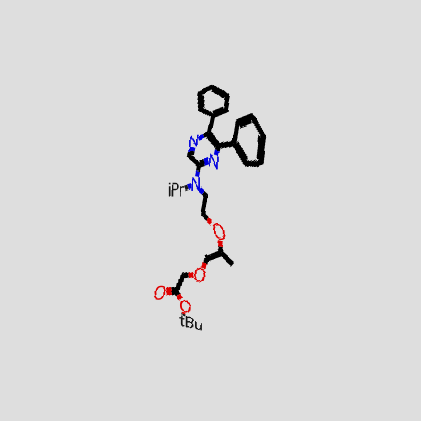 CC(COCC(=O)OC(C)(C)C)OCCN(c1cnc(-c2ccccc2)c(-c2ccccc2)n1)C(C)C